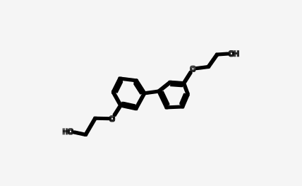 OCCOc1cccc(-c2cccc(OCCO)c2)c1